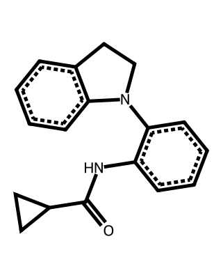 O=C(Nc1ccccc1N1CCc2ccccc21)C1CC1